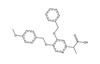 COc1ccc(COc2cnc(C(C)C(=O)O)cc2OCc2ccccc2)cc1